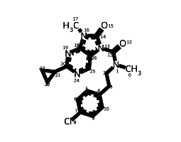 CN(CCc1ccc(Cl)cc1)C(=O)n1c(=O)n(C)c2nc(C3CC3)ncc21